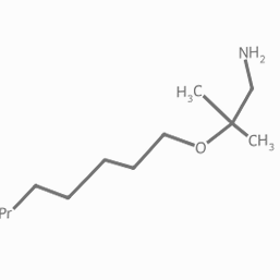 CC(C)CCCCCOC(C)(C)CN